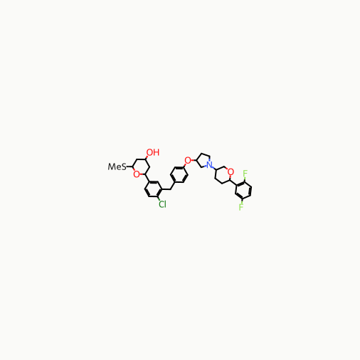 CSC1CC(O)CC(c2ccc(Cl)c(Cc3ccc(OC4CCN(C5CCC(c6cc(F)ccc6F)OC5)C4)cc3)c2)O1